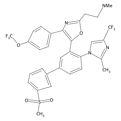 CNCCc1nc(-c2ccc(OC(F)(F)F)cc2)c(-c2cc(-c3cccc(S(C)(=O)=O)c3)ccc2-n2cc(C(F)(F)F)nc2C)o1